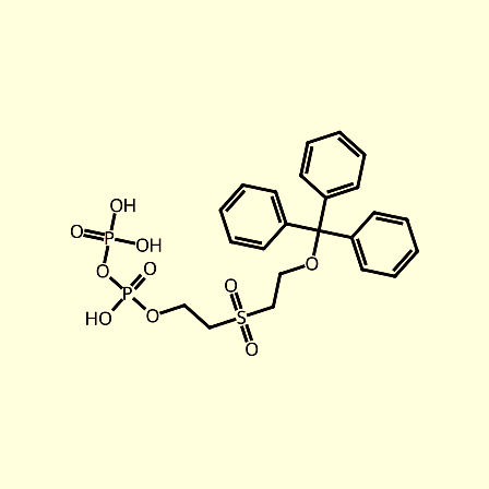 O=P(O)(O)OP(=O)(O)OCCS(=O)(=O)CCOC(c1ccccc1)(c1ccccc1)c1ccccc1